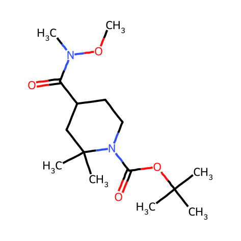 CON(C)C(=O)C1CCN(C(=O)OC(C)(C)C)C(C)(C)C1